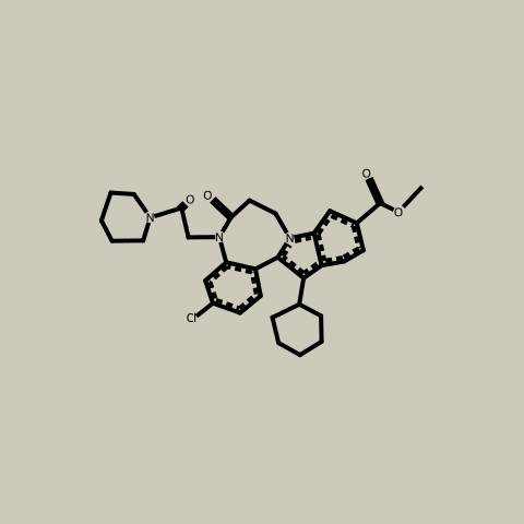 COC(=O)c1ccc2c(C3CCCCC3)c3n(c2c1)CCC(=O)N(CC(=O)N1CCCCC1)c1cc(Cl)ccc1-3